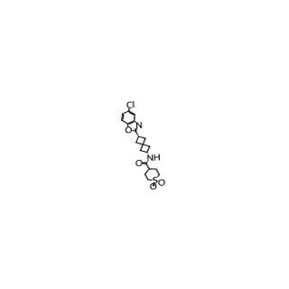 O=C(N[C@H]1CC2(C1)C[C@H](c1nc3cc(Cl)ccc3o1)C2)C1CCS(=O)(=O)CC1